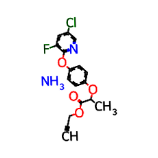 C#CCOC(=O)C(C)Oc1ccc(Oc2ncc(Cl)cc2F)cc1.N